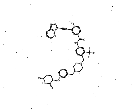 Cc1ccc(C(=O)Nc2ccc(CN3CCN(Cc4cccc(NC5CCC(=O)NC5=O)c4)CC3)c(C(F)(F)F)c2)cc1C#Cc1cnc2cccnn12